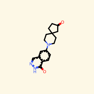 O=C1CCC2(CCN(c3ccc4c(=O)[nH]ncc4c3)CC2)C1